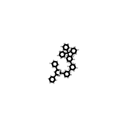 c1ccc(-c2cc(-c3ccccc3)nc(-c3cccc(-c4cccc(-c5ccc6c(c5)-c5ccccc5C6(c5ccccc5)c5ccccc5)c4)c3)n2)cc1